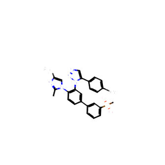 Cc1nc(C(F)(F)F)cn1-c1ccc(-c2cccc(S(C)(=O)=O)c2)cc1-n1nncc1-c1ccc(C(C)C)cc1